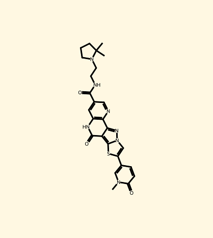 Cn1cc(-c2cn3nc4c5ncc(C(=O)NCCN6CCCC6(C)C)cc5[nH]c(=O)c4c3s2)ccc1=O